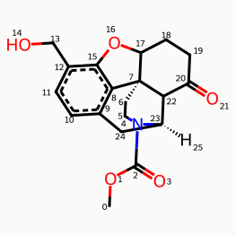 COC(=O)N1CC[C@]23c4c5ccc(CO)c4OC2CCC(=O)C3[C@H]1C5